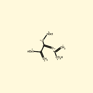 C=C(CCCCCCCC)C(=O)OCCCCCCCC.C=CC(=O)O